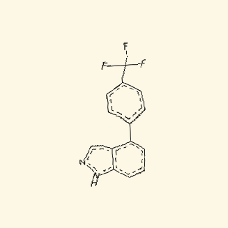 FC(F)(F)c1ccc(-c2cccc3[nH]ncc23)cc1